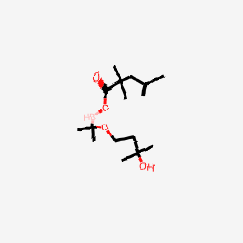 CC(C)CC(C)(C)C(=O)OBC(C)(C)OCCC(C)(C)O